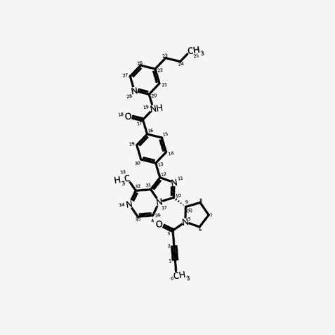 CC#CC(=O)N1CCC[C@H]1c1nc(-c2ccc(C(=O)Nc3cc(CCC)ccn3)cc2)c2c(C)nccn12